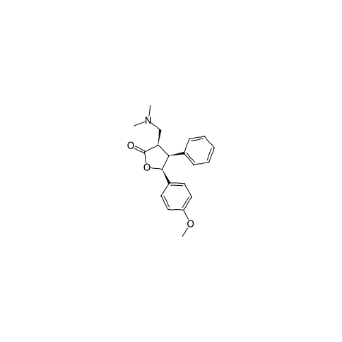 COc1ccc([C@H]2OC(=O)[C@@H](CN(C)C)[C@H]2c2ccccc2)cc1